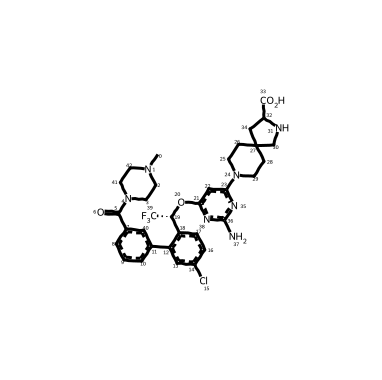 CN1CCN(C(=O)c2cccc(-c3cc(Cl)ccc3[C@@H](Oc3cc(N4CCC5(CC4)CNC(C(=O)O)C5)nc(N)n3)C(F)(F)F)c2)CC1